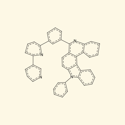 c1ccc(-n2c3ccccc3c3c4c(ccc32)c(-c2cccc(-c3cccc(-c5cccnc5)n3)c2)nc2ccccc24)cc1